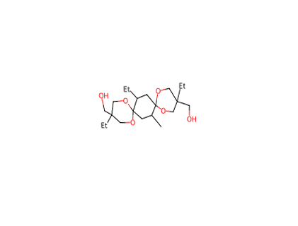 CCC1CC2(OCC(CC)(CO)CO2)C(C)CC12OCC(CC)(CO)CO2